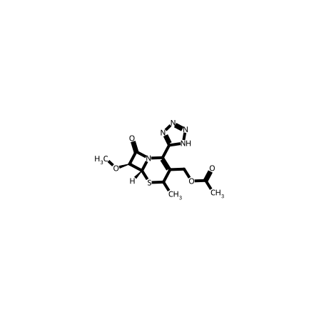 CO[C@H]1C(=O)N2C(c3nnn[nH]3)=C(COC(C)=O)C(C)S[C@H]12